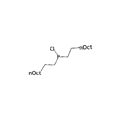 CCCCCCCCCCP(Cl)CCCCCCCCCC